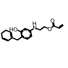 C=CC(=O)OCCNc1ccc(CC2=CCCC=C2)c(O)c1